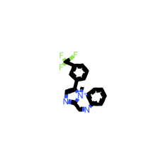 C[N+]12C(c3cccc(C(F)(F)F)c3)=CN=C1C=Nc1ccccc12